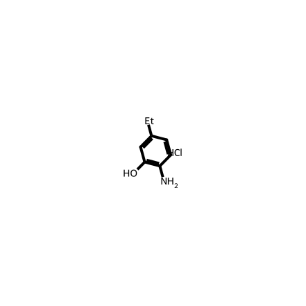 CCc1ccc(N)c(O)c1.Cl